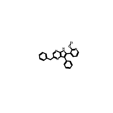 CCOc1ncccc1-c1[nH]c2ncc(Cc3ccccc3)nc2c1-c1ccccc1